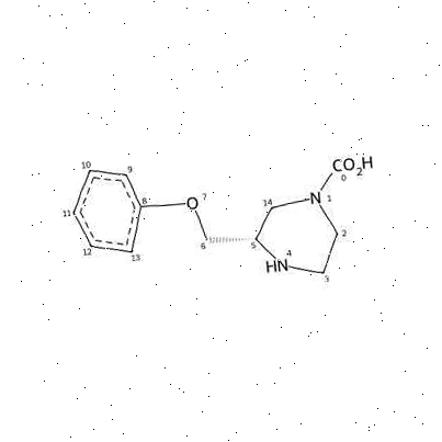 O=C(O)N1CCN[C@H](COc2ccccc2)C1